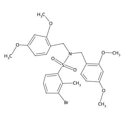 COc1ccc(CN(Cc2ccc(OC)cc2OC)S(=O)(=O)c2cccc(Br)c2C)c(OC)c1